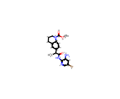 CC(C(=O)Nc1ncc(Br)cc1N)c1ccc2c(c1)CCCN2C(=O)OC(C)(C)C